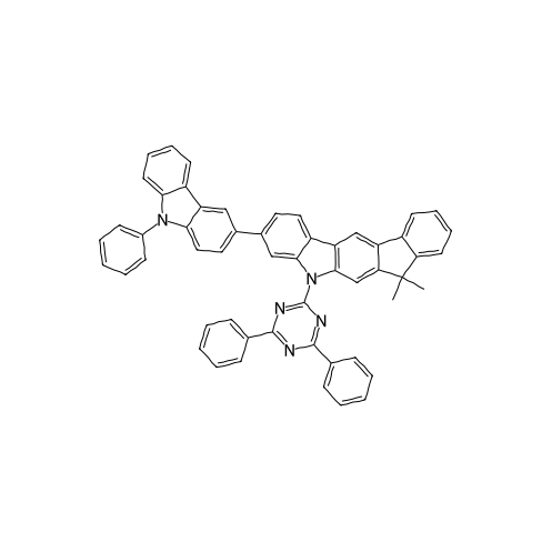 CC1(C)c2ccccc2-c2cc3c4ccc(-c5ccc6c(c5)c5ccccc5n6-c5ccccc5)cc4n(-c4nc(-c5ccccc5)nc(-c5ccccc5)n4)c3cc21